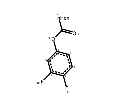 CCCCCCC(=O)Oc1ccc(F)c(F)c1